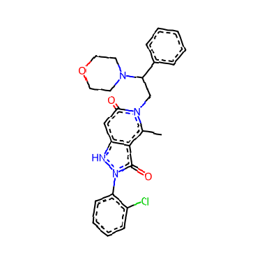 Cc1c2c(=O)n(-c3ccccc3Cl)[nH]c2cc(=O)n1CC(c1ccccc1)N1CCOCC1